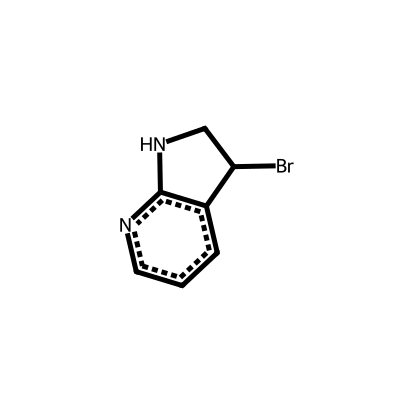 BrC1CNc2ncccc21